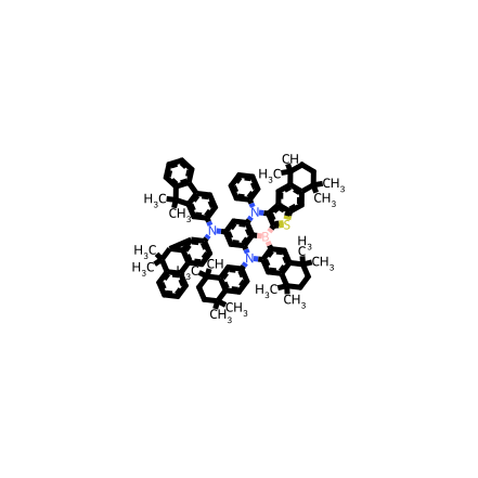 CC1(C)CCC(C)(C)c2cc(N3c4cc5c(cc4B4c6sc7cc8c(cc7c6N(c6ccccc6)c6cc(N(c7ccc9c(c7)C(C)(C)c7ccccc7-9)c7ccc9c%10c7C%10C(C)(C)c7ccccc7-9)cc3c64)C(C)(C)CCC8(C)C)C(C)(C)CCC5(C)C)ccc21